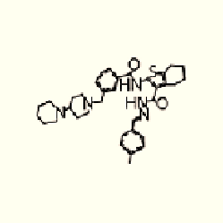 Cc1ccc(C=NNC(=O)c2c(NC(=O)c3cccc(CN4CCC(N5CCCCC5)CC4)c3)sc3c2CCCC3)cc1